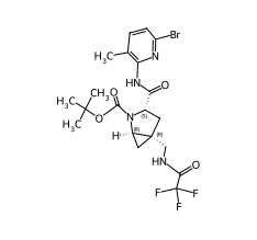 Cc1ccc(Br)nc1NC(=O)[C@@H]1C[C@@]2(CNC(=O)C(F)(F)F)C[C@H]2N1C(=O)OC(C)(C)C